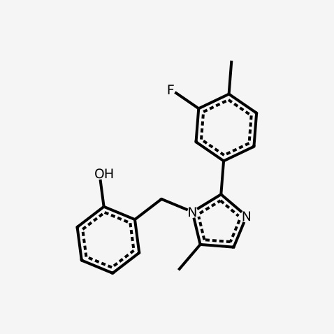 Cc1ccc(-c2ncc(C)n2Cc2ccccc2O)cc1F